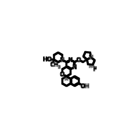 C[C@@]1(O)CCCN(c2nc(OC[C@@]34CCCN3C[C@H](F)C4)nc3c2CO[C@]2(CCCc4cc(O)ccc42)C3)C1